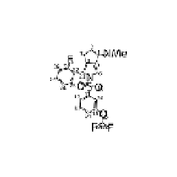 CNC1CCc2c1cn(S(=O)(=O)c1cccc(OC(F)F)c1)c2-c1ccccc1F